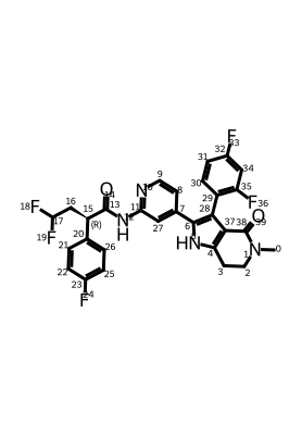 CN1CCc2[nH]c(-c3ccnc(NC(=O)[C@H](CC(F)F)c4ccc(F)cc4)c3)c(-c3ccc(F)cc3F)c2C1=O